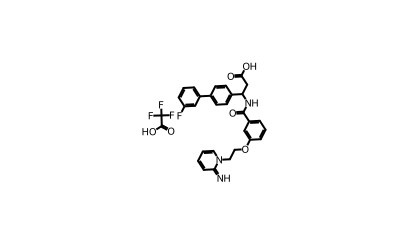 N=c1ccccn1CCOc1cccc(C(=O)NC(CC(=O)O)c2ccc(-c3cccc(F)c3)cc2)c1.O=C(O)C(F)(F)F